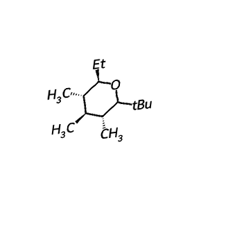 CC[C@H]1OC(C(C)(C)C)[C@H](C)[C@@H](C)[C@@H]1C